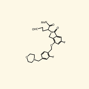 CNC(=O)C(CCC=O)N1Cc2c(OCc3ccc(CN4CCOCC4)cc3F)cc(F)cc2C1=O